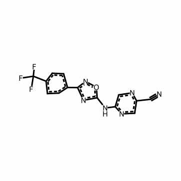 N#Cc1cnc(Nc2nc(-c3ccc(C(F)(F)F)cc3)no2)cn1